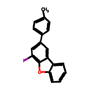 Cc1ccc(-c2cc(I)c3oc4ccccc4c3c2)cc1